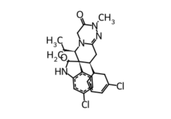 C=C(C)[C@H]1N2CC(=O)N(C)N=C2C[C@@H](C2C=CC=C(Cl)C2)[C@]12C(=O)Nc1cc(Cl)ccc12